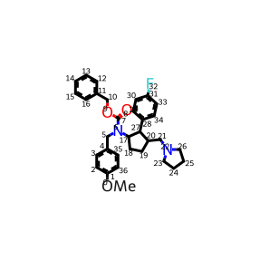 COc1ccc(CN(C(=O)OCc2ccccc2)C2CCC(CN3CCCC3)C2c2ccc(F)cc2)cc1